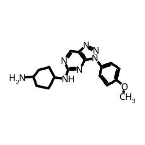 COc1ccc(-n2nnc3cnc(NC4CCC(N)CC4)nc32)cc1